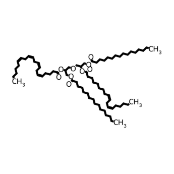 CCCCC/C=C\C/C=C\C/C=C\C/C=C\CCCC(=O)OC(COCC(COC(=O)CCCCCCCCCCCCCCC)OC(=O)CCCCCCC/C=C\C/C=C\CCCCC)COC(=O)CCCCCCCCCCCCCCC